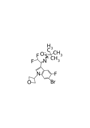 CC(C)(C)[S@+]([O-])N=C(c1cn(C2COC2)c2cc(Br)c(F)cc12)C(F)F